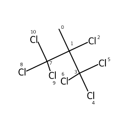 CC(Cl)(C(Cl)(Cl)Cl)C(Cl)(Cl)Cl